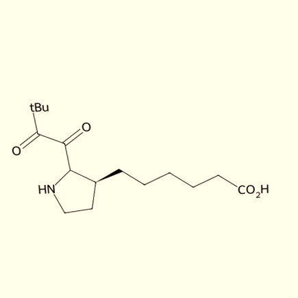 CC(C)(C)C(=O)C(=O)C1NCC[C@@H]1CCCCCC(=O)O